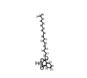 CC(C)CCCCCCCCCCCCCCCCOC(=O)C1CC=CCC1C(=O)O